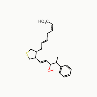 CC(c1ccccc1)C(O)/C=C/[C@H]1CSC[C@H]1CC=CC/C=C\C(=O)O